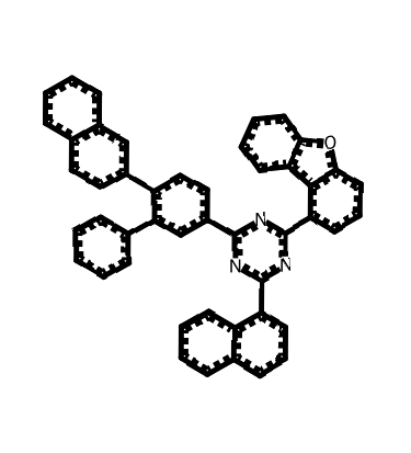 c1ccc(-c2cc(-c3nc(-c4cccc5ccccc45)nc(-c4cccc5oc6ccccc6c45)n3)ccc2-c2ccc3ccccc3c2)cc1